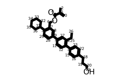 C=C(C)C(=O)OCc1cc(-c2ccc(-c3ccc(CCCO)cc3)c(CC)c2)ccc1C1CCCCC1